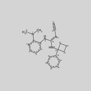 CN(C)c1ncccc1N/C(=N\C#N)NC1(c2ccccc2)CCC1